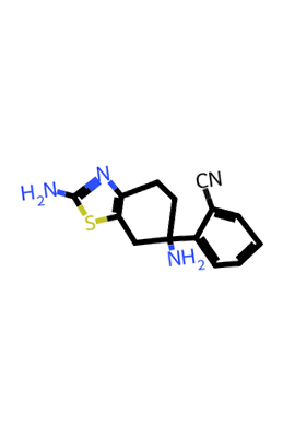 N#Cc1ccccc1C1(N)CCc2nc(N)sc2C1